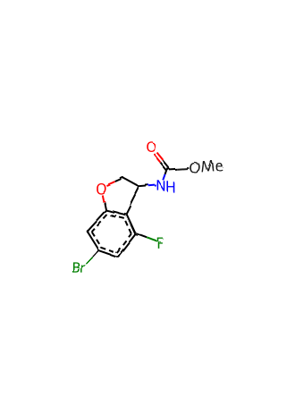 COC(=O)NC1COc2cc(Br)cc(F)c21